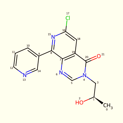 C[C@@H](O)Cn1cnc2c(-c3cccnc3)nc(Cl)cc2c1=O